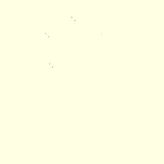 Cc1ccc(CCNc2cc(Cl)ncn2)cc1C